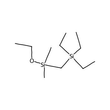 CCO[Si](C)(C)C[Si](CC)(CC)CC